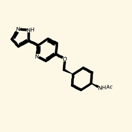 CC(=O)N[C@H]1CC[C@@H](COc2ccc(-c3ccn[nH]3)nc2)CC1